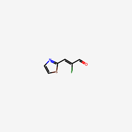 O=CC(F)=Cc1nccs1